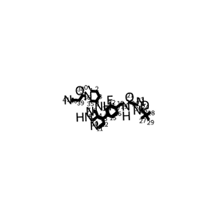 C[C@H]1CC[C@@H](Nc2n[nH]c3nccc(-c4ccc(CNC(=O)c5noc(C(C)(C)C)n5)c(F)c4)c23)CN1C(=O)CC#N